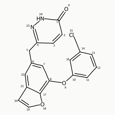 O=c1ccc(Cc2cc(Oc3cccc(Cl)c3)c3occc3c2)n[nH]1